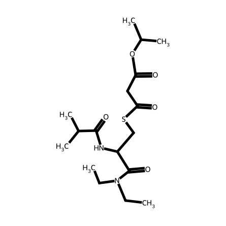 CCN(CC)C(=O)C(CSC(=O)CC(=O)OC(C)C)NC(=O)C(C)C